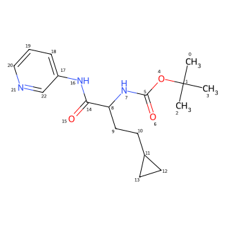 CC(C)(C)OC(=O)NC(CCC1CC1)C(=O)Nc1cccnc1